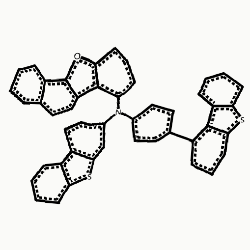 c1ccc2c(c1)ccc1c2oc2cccc(N(c3ccc(-c4cccc5sc6ccccc6c45)cc3)c3ccc4c(c3)sc3ccccc34)c21